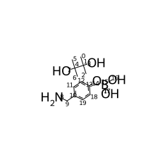 CC(C)(O)C(C)(C)O.NCc1ccc(OB(O)O)cc1